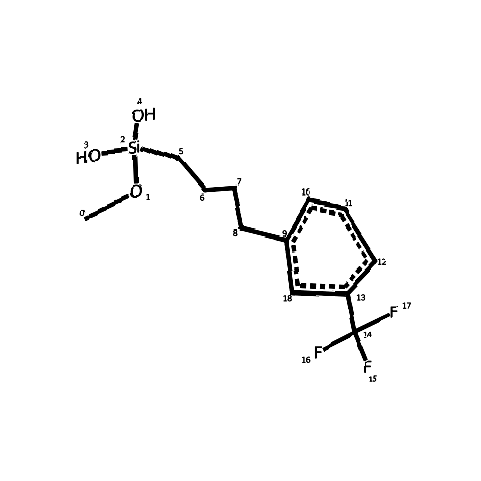 CO[Si](O)(O)CCCCc1cccc(C(F)(F)F)c1